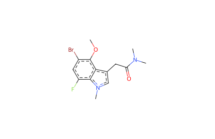 COc1c(Br)cc(F)c2c1c(CC(=O)N(C)C)cn2C